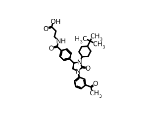 CC(=O)c1cccc(N2CC(c3ccc(C(=O)NCCC(=O)O)cc3)N(C3CCC(C(C)(C)C)CC3)C2=O)c1